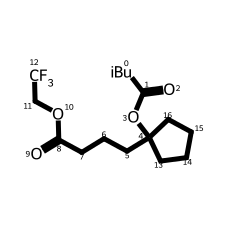 CCC(C)C(=O)OC1(CCCC(=O)OCC(F)(F)F)CCCC1